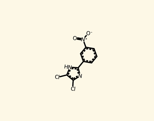 O=[N+]([O-])c1cccc(-c2nc(Cl)c(Cl)[nH]2)c1